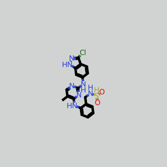 Cc1cnc(Nc2ccc3c(Cl)n[nH]c3c2)nc1Nc1ccccc1CN[SH](=O)=O